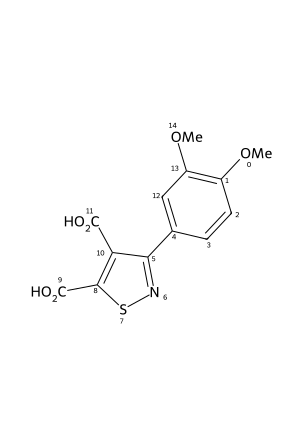 COc1ccc(-c2nsc(C(=O)O)c2C(=O)O)cc1OC